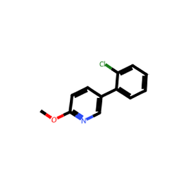 COc1ccc(-c2cc[c]cc2Cl)cn1